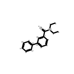 CCN(CC)C(=O)c1cccc(-c2ccccc2)c1